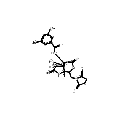 CC(C)(C)c1cc(C(=O)NC2CN3C(=N)NC(CN4C(=O)CCC4=O)[C@@H]4NC(=N)N[C@@]43C2(O)O)cc(C(C)(C)C)c1